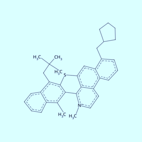 Cc1c2c(c(CC(C)(C)C)c3ccccc13)Sc1cc3c(CC4CCCC4)cccc3c3cc[n+](C)c-2c13